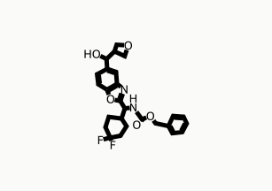 O=C(NC(c1nc2cc(C(O)C3COC3)ccc2o1)C1CCC(F)(F)CC1)OCc1ccccc1